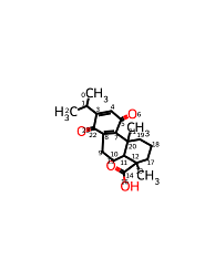 CC(C)C1=CC(=O)C2=C(CCC3C(C)(C(=O)O)CCCC23C)C1=O